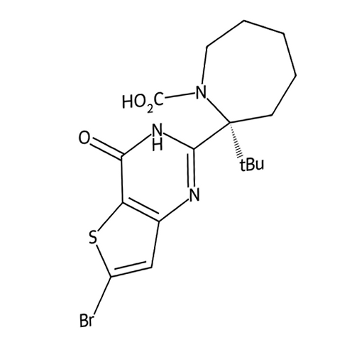 CC(C)(C)[C@@]1(c2nc3cc(Br)sc3c(=O)[nH]2)CCCCCN1C(=O)O